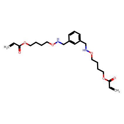 C=CC(=O)OCCCCONCc1cccc(CNOCCCCOC(=O)C=C)c1